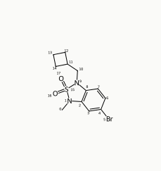 CN1c2cc(Br)ccc2N(CC2CCC2)S1(=O)=O